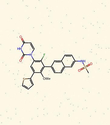 COc1c(-c2cccs2)cc(-n2ccc(=O)[nH]c2=O)c(F)c1-c1ccc2cc(NS(C)(=O)=O)ccc2c1